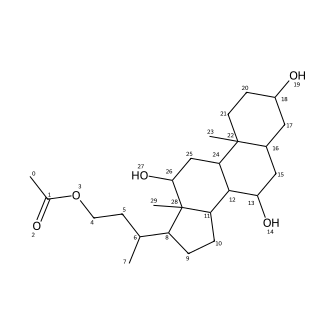 CC(=O)OCCC(C)C1CCC2C3C(O)CC4CC(O)CCC4(C)C3CC(O)C12C